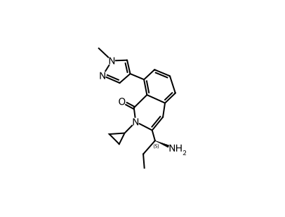 CC[C@H](N)c1cc2cccc(-c3cnn(C)c3)c2c(=O)n1C1CC1